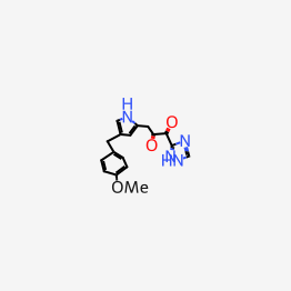 COc1ccc(Cc2c[nH]c(CC(=O)C(=O)c3nc[nH]n3)c2)cc1